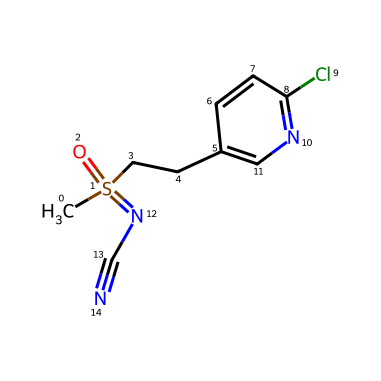 CS(=O)(CCc1ccc(Cl)nc1)=NC#N